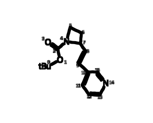 CC(C)(C)OC(=O)N1CCC1C=Cc1cccnc1